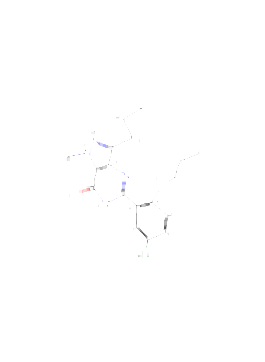 CCCOc1ccc(Br)cc1-c1nc2c(CCC)nn(C)c2c(=O)[nH]1